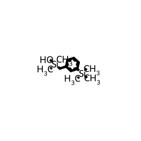 C[Si](C)(O)Cc1cccc([Si](C)(C)C)c1